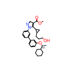 COC(=O)c1cnn(-c2cccc(-c3cccc(O[C@@H](C)C4CCCCC4)c3)c2)c1C1CC1CCCO